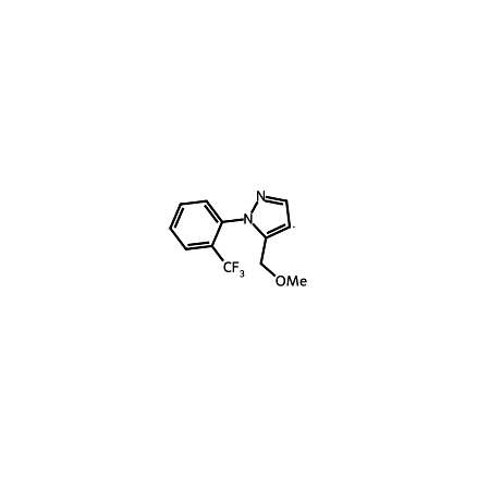 COCc1[c]cnn1-c1ccccc1C(F)(F)F